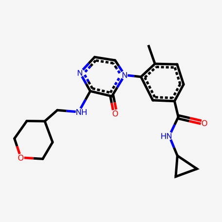 Cc1ccc(C(=O)NC2CC2)cc1-n1ccnc(NCC2CCOCC2)c1=O